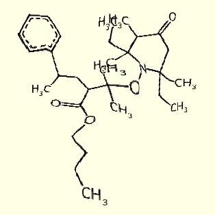 CCCCOC(=O)C(CC(C)c1ccccc1)C(C)(C)ON1C(C)(CC)CC(=O)C(C)C1(C)CC